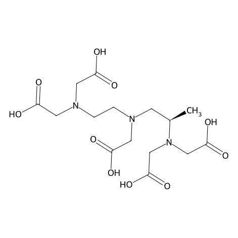 C[C@H](CN(CCN(CC(=O)O)CC(=O)O)CC(=O)O)N(CC(=O)O)CC(=O)O